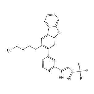 CCCCCc1cc2c(cc1-c1ccnc(-c3cc(C(F)(F)F)n[nH]3)c1)sc1ccccc12